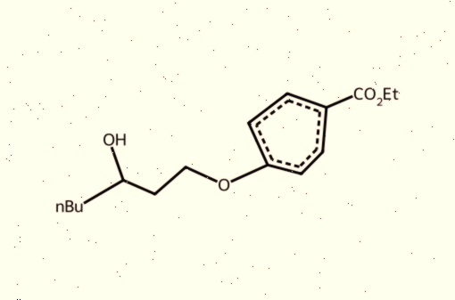 CCCCC(O)CCOc1ccc(C(=O)OCC)cc1